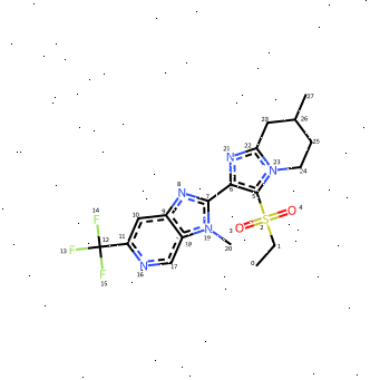 CCS(=O)(=O)c1c(-c2nc3cc(C(F)(F)F)ncc3n2C)nc2n1CCC(C)C2